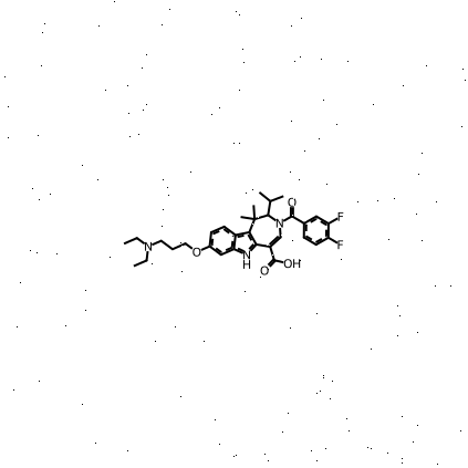 CCN(CC)CCCOc1ccc2c3c([nH]c2c1)C(C(=O)O)=CN(C(=O)c1ccc(F)c(F)c1)C(C(C)C)C3(C)C